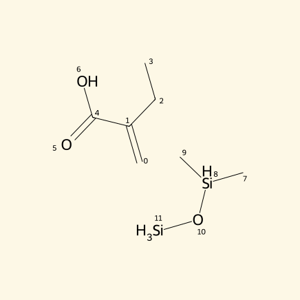 C=C(CC)C(=O)O.C[SiH](C)O[SiH3]